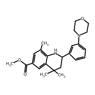 COC(=O)c1cc(C)c2c(c1)C(C)(C)CC(c1cccc(N3CCOCC3)c1)N2